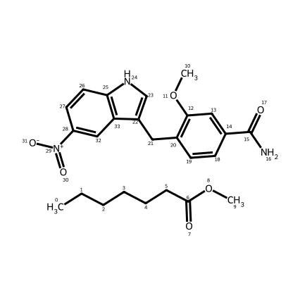 CCCCCCC(=O)OC.COc1cc(C(N)=O)ccc1Cc1c[nH]c2ccc([N+](=O)[O-])cc12